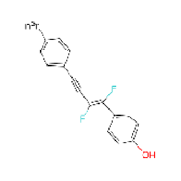 CCCc1ccc(C#C/C(F)=C(\F)c2ccc(O)cc2)cc1